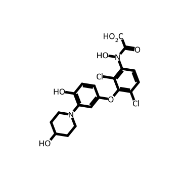 O=C(O)C(=O)N(O)c1ccc(Cl)c(Oc2ccc(O)c(N3CCC(O)CC3)c2)c1Cl